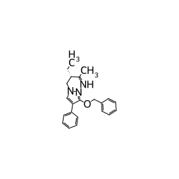 CC[C@@H](Cn1cc(-c2ccccc2)c(OCc2ccccc2)n1)C(C)=N